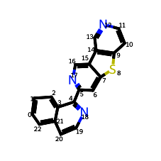 c1ccc2c(-c3cc4sc5ccncc5c4cn3)nccc2c1